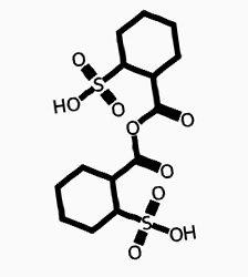 O=C(OC(=O)C1CCCCC1S(=O)(=O)O)C1CCCCC1S(=O)(=O)O